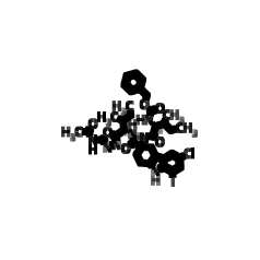 CCC(C)[C@H](NC(=O)OCc1ccccc1)C(=O)N[C@]1(C(=O)N[C@H](c2nnc(NC(C)=O)o2)C(C)CC)CCc2[nH]c3c(I)cc(Cl)cc3c2C1